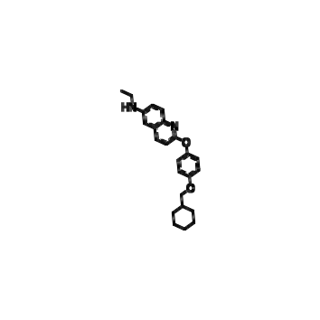 CCNc1ccc2nc(Oc3ccc(OCC4CCCCC4)cc3)ccc2c1